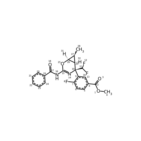 COC(=O)c1ccc(F)c([C@]2(C(F)F)N=C(NC(=O)c3ccccc3)O[C@H]3[C@@H](C)[C@H]32)c1